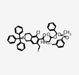 CS(=O)(=O)c1cccc(C[C@H](NC(=O)c2c(CI)cc3c(c2Cl)CCN(C(c2ccccc2)(c2ccccc2)c2ccccc2)C3)C(=O)OCc2ccccc2)c1